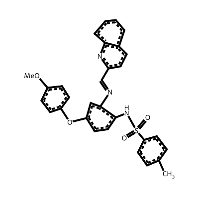 COc1ccc(Oc2ccc(NS(=O)(=O)c3ccc(C)cc3)c(/N=C/c3ccc4ccccc4n3)c2)cc1